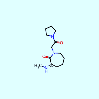 CN[C@H]1CCCCN(CC(=O)N2CCCC2)C1=O